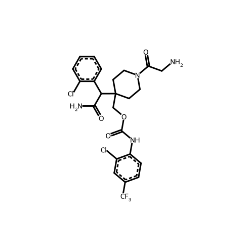 NCC(=O)N1CCC(COC(=O)Nc2ccc(C(F)(F)F)cc2Cl)(C(C(N)=O)c2ccccc2Cl)CC1